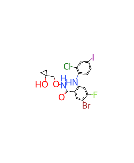 O=C(NOCC1(O)CC1)c1cc(Br)c(F)cc1Nc1ccc(I)cc1Cl